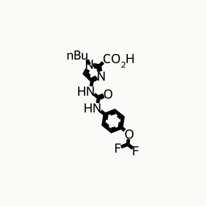 CCCCn1cc(NC(=O)Nc2ccc(OC(F)F)cc2)nc1C(=O)O